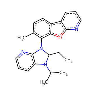 CCC1N(c2c(C)ccc3c2oc2ncccc23)c2ncccc2N1C(C)C